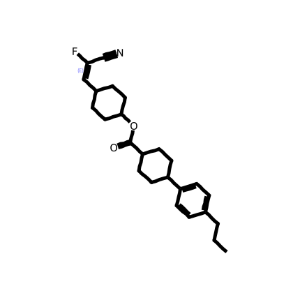 CCCc1ccc(C2CCC(C(=O)OC3CCC(/C=C(/F)C#N)CC3)CC2)cc1